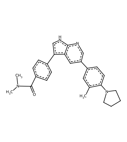 Cc1cc(-c2cnc3[nH]cc(-c4ccc(C(=O)N(C)C)cc4)c3c2)ccc1N1CCCC1